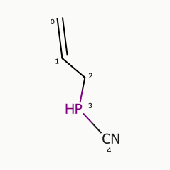 C=CCPC#N